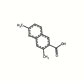 Cc1ccc2cc(C(=O)O)c(C)cc2n1